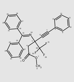 COC(=O)CC(C#Cc1ccccc1)(N=C(c1ccccc1)c1ccccc1)C(F)(F)F